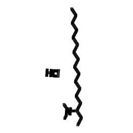 CCCCCCCCCCCCCCC(CC)N(C)C.Cl